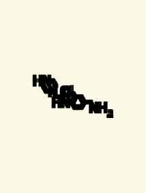 NCc1ccc(NC(=O)CN2CCNCC2)c(Cl)c1